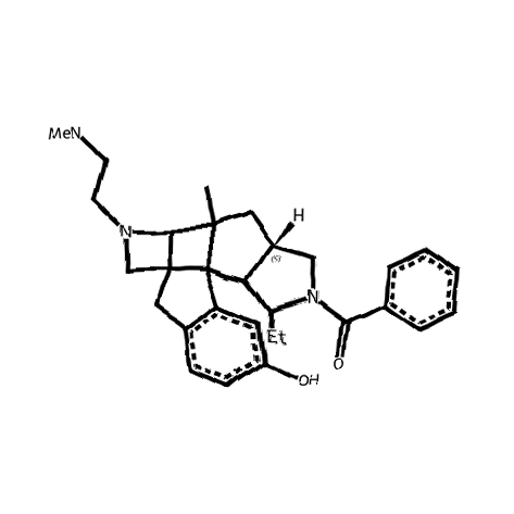 CCC1C2[C@@H](CN1C(=O)c1ccccc1)CC1(C)C3N(CCNC)CC34Cc3ccc(O)cc3C214